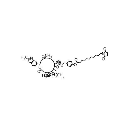 C=CCC1C(=O)C(C)(C)C(O)CC(=O)OC(c2ccc3sc(C)nc3c2)CC2OC2(C)CCCC(C)C1OC(=O)OCc1ccc(OC(=O)CCCCCCCCCCN2C(=O)C=CC2=O)cc1